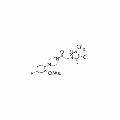 COc1cc(F)ccc1N1CCN(C(=O)Cn2nc(C(F)(F)F)c(Cl)c2C)CC1